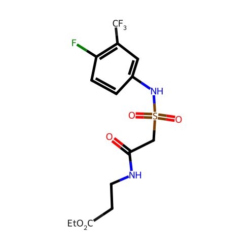 CCOC(=O)CCNC(=O)CS(=O)(=O)Nc1ccc(F)c(C(F)(F)F)c1